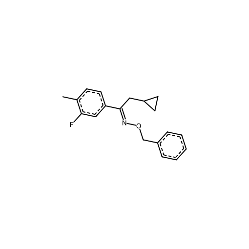 Cc1ccc(/C(CC2CC2)=N/OCc2ccccc2)cc1F